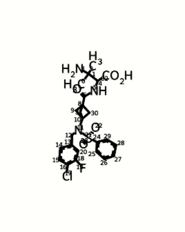 CC(C)(N)C(NC(=O)C12CC(N(Cc3ccc(Cl)c(F)c3)S(=O)(=O)c3ccccc3)(C1)C2)C(=O)O